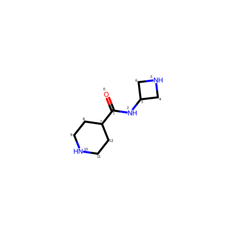 O=C(NC1CNC1)C1CCNCC1